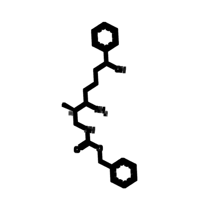 C[C@H](CNC(=O)OCc1ccccc1)C(N)CCCC(O)c1ccccc1